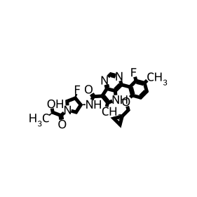 Cc1ccc(OCC2CC2)c(-c2ncnc3c(C(=O)N[C@@H]4CN(C(=O)[C@H](C)O)C[C@H]4F)c(C)[nH]c23)c1F